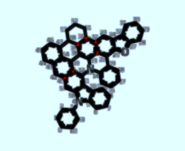 c1ccc(-n2c3ccccc3c3c(N(c4ccccc4-c4cccc5c4oc4ccccc45)c4ccccc4-c4cccc5cccc(C6CCCCC6)c45)cccc32)cc1